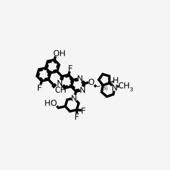 C#Cc1c(F)ccc2cc(O)cc(-c3ncc4c(N5CC(CO)CC(F)(F)C5)nc(OC[C@]56CCC[C@H]5N(C)CCC6)nc4c3F)c12